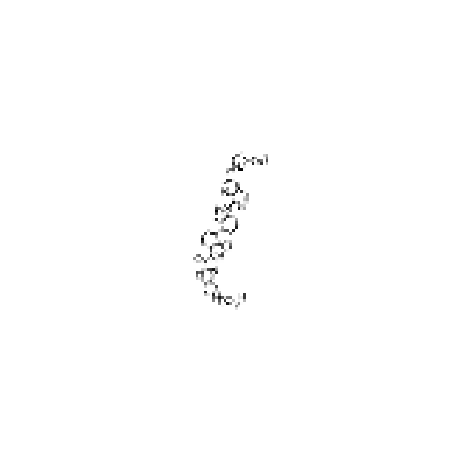 Cc1c(Nc2nccc3cc(CN4CCC(O)C4)cnc23)cccc1-c1cccc(NC(=O)c2nc3c(n2C)CCN(C(=O)O)C3)c1Cl